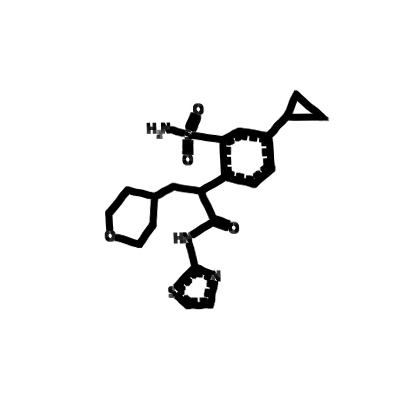 NS(=O)(=O)c1cc(C2CC2)ccc1C(CC1CCOCC1)C(=O)Nc1nccs1